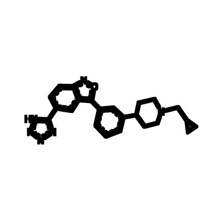 c1cc(-c2onc3ccc(-c4nnn[nH]4)cc23)cc(C2CCN(CC3CC3)CC2)c1